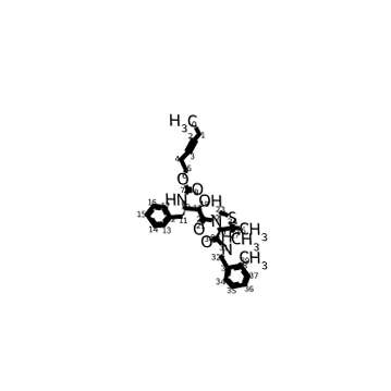 CCC#CCCOC(=O)N[C@@H](Cc1ccccc1)[C@H](O)C(=O)N1CSC(C)(C)[C@H]1C(=O)NCc1ccccc1C